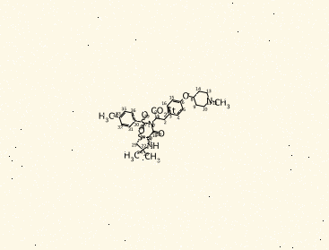 CCOC(=O)[C@H](Cc1ccc(OC2CCN(C)CC2)cc1)N(C(=O)[C@H]1NC(C)(C)CS1)S(=O)(=O)c1ccc(C)cc1